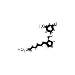 Cc1cc(Cl)cc(OC[C@H]2CCC=C2CCCCCCC(=O)O)c1